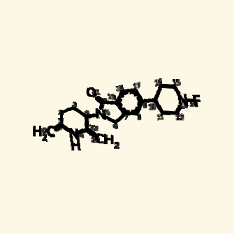 C=C1CCC(N2Cc3cc(C4CCN(F)CC4)ccc3C2=O)C(=C)N1